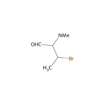 CNC(C=O)C(C)Br